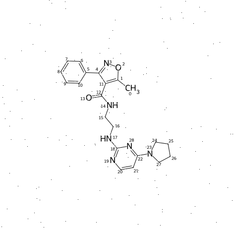 Cc1onc(-c2ccccc2)c1C(=O)NCCNc1nccc(N2CCCC2)n1